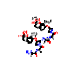 C[C@@H](N)C(=O)N[C@H](C)C(=O)N1CC(Oc2ccc3c(c2C(=O)O)O[B-](O)(O)CC3)C1.C[C@@H](N)C(=O)N[C@H](C)C(=O)N1CC(Oc2ccc3c(c2C(=O)O)O[B-](O)(O)CC3)C1.[Na+].[Na+]